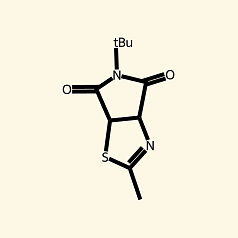 CC1=NC2C(=O)N(C(C)(C)C)C(=O)C2S1